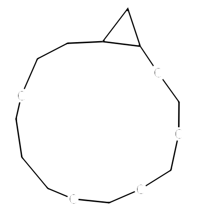 C1CCCCCCC2CC2CCCCCC1